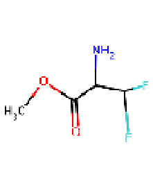 COC(=O)C(N)C(F)F